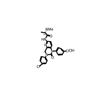 CN[C@@H](C)C(=O)Nc1ccc2c(n1)CN(c1ccc(Cl)cc1)C(=O)N2c1ccc(Cl)cc1.Cl